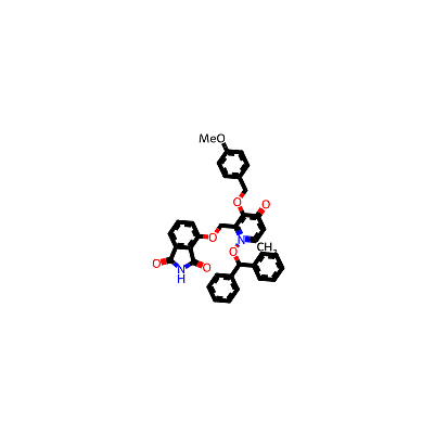 COc1ccc(COc2c(COc3cccc4c3C(=O)NC4=O)n(OC(c3ccccc3)c3ccccc3)c(C)cc2=O)cc1